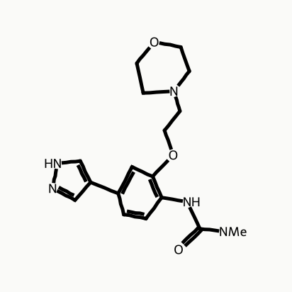 CNC(=O)Nc1ccc(-c2cn[nH]c2)cc1OCCN1CCOCC1